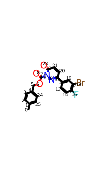 Cc1ccc(COC(=O)n2nc(-c3ccc(F)c(Br)c3)ccc2=O)cc1